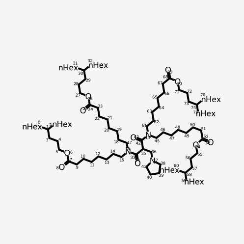 CCCCCCC(CCCCCC)CCCOC(=O)CCCCCCCN(CCCCCCCC(=O)OCCCC(CCCCCC)CCCCCC)C(=O)C(CN1CCCC1)C(=O)N(CCCCCCCC(=O)OCCCC(CCCCCC)CCCCCC)CCCCCCCC(=O)OCCCC(CCCCCC)CCCCCC